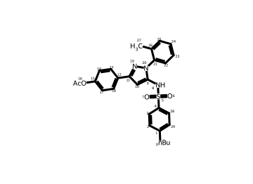 CCCCc1ccc(S(=O)(=O)Nc2cc(-c3ccc(OC(C)=O)cc3)nn2-c2ccccc2C)cc1